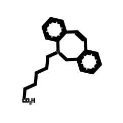 O=C(O)CCCCCN1Cc2ccccc2C=Cc2ccccc21